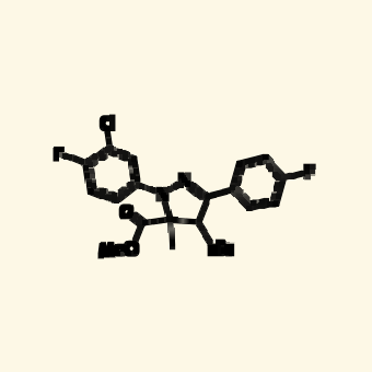 CCCCC1C(c2ccc(F)cc2)=NN(c2ccc(F)c(Cl)c2)C1(C)C(=O)OC